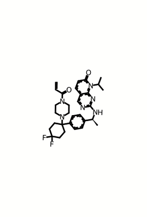 C=CC(=O)N1CCN(C2(c3ccc([C@H](C)Nc4ncc5ccc(=O)n(C(C)C)c5n4)cc3)CCC(F)(F)CC2)CC1